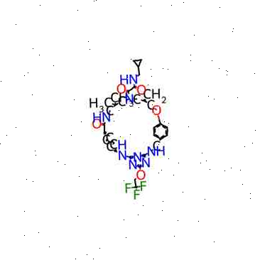 C=C1COc2ccc(cc2)CNc2nc(nc(OCC(F)(F)F)n2)Nc2ccc(cc2)C(=O)NCC(C)(C)CN(C(=O)C(=O)NCC2CC2)C1